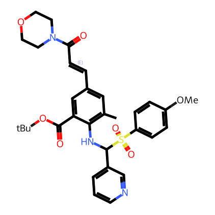 COc1ccc(S(=O)(=O)C(Nc2c(C)cc(/C=C/C(=O)N3CCOCC3)cc2C(=O)OC(C)(C)C)c2cccnc2)cc1